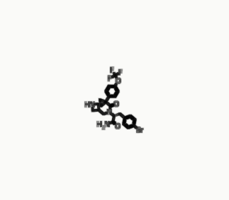 NC(=O)[C@H](Cc1ccc(Br)cc1)N(CC1CNC1)C(=O)C1(c2ccc(OC(F)(F)F)cc2)CC1